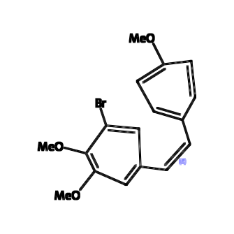 COc1ccc(/C=C\c2cc(Br)c(OC)c(OC)c2)cc1